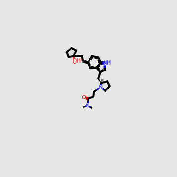 CN(C)C(=O)CCN1CCC[C@@H]1Cc1c[nH]c2ccc(CCC3(O)CCCC3)cc12